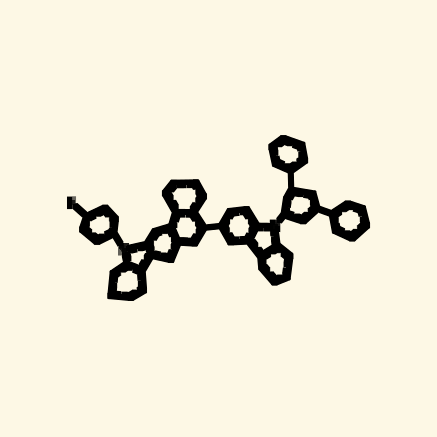 Fc1ccc(-n2c3ccccc3c3cc4cc(-c5ccc6c(c5)c5ccccc5n6-c5cc(-c6ccccc6)cc(-c6ccccc6)c5)c5ccccc5c4cc32)cc1